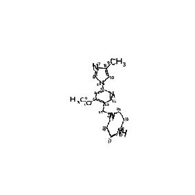 COc1cc(-n2cnc(C)c2)ncc1CN1CCNCC1